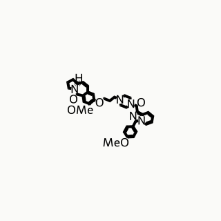 COc1ccc(-c2nc(C(=O)N3CCN(CCCOc4cc5c(cc4OC)C(=O)N4CCC[C@H]4C=C5)CC3)c3ccccn23)cc1